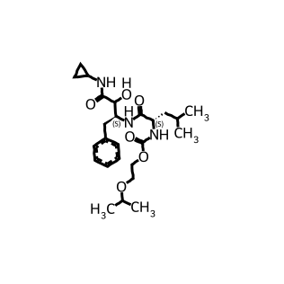 CC(C)C[C@H](NC(=O)OCCOC(C)C)C(=O)N[C@@H](Cc1ccccc1)C(O)C(=O)NC1CC1